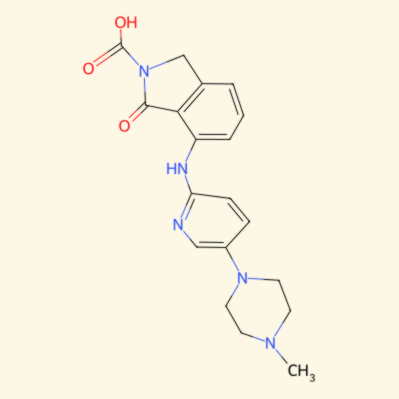 CN1CCN(c2ccc(Nc3cccc4c3C(=O)N(C(=O)O)C4)nc2)CC1